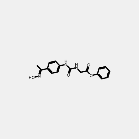 CC(=NO)c1ccc(NC(=O)NCC(=O)Oc2ccccc2)cc1